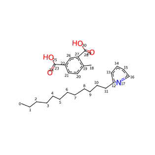 CCCCCCCCCCCCc1ccccn1.Cc1ccc(C(=O)O)cc1C(=O)O